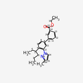 CCCC(CC)c1ccc(-c2cccc(C(=O)OCC)c2)cc1-n1ccc(C)n1